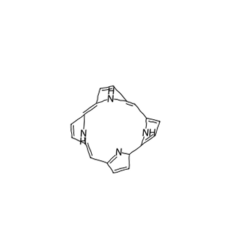 C1=CC2N=C1C=c1ccc([nH]1)=c1cc/c([nH]1)=C/c1ccc2[nH]1